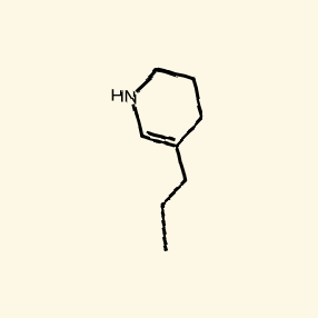 CCCC1=CNCCC1